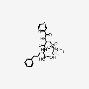 CN(C)S(=O)(=O)C[C@H](NC(=O)c1cnccn1)C(=O)N[C@@H](CCCc1ccccc1)B(O)O